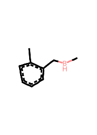 CBCc1ccccc1C